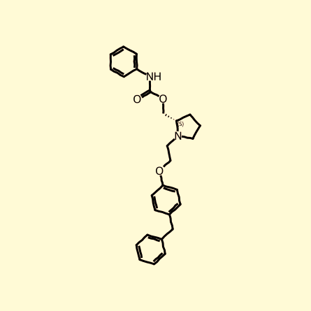 O=C(Nc1ccccc1)OC[C@@H]1CCCN1CCOc1ccc(Cc2ccccc2)cc1